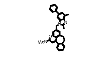 CNC(=O)C=C1c2ccccc2CCc2cc(Cn3c(C)nc4c(C)cc(-c5ccccc5)cc43)ccc21